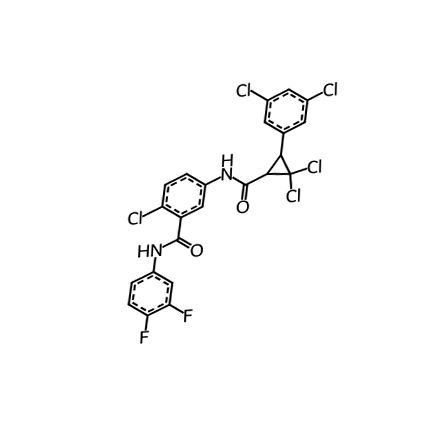 O=C(Nc1ccc(F)c(F)c1)c1cc(NC(=O)C2C(c3cc(Cl)cc(Cl)c3)C2(Cl)Cl)ccc1Cl